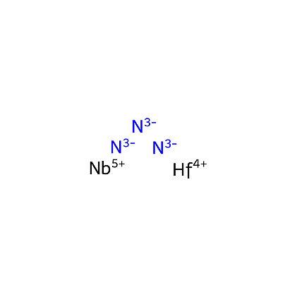 [Hf+4].[N-3].[N-3].[N-3].[Nb+5]